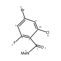 CNC(=O)c1c(F)cc(Br)cc1Cl